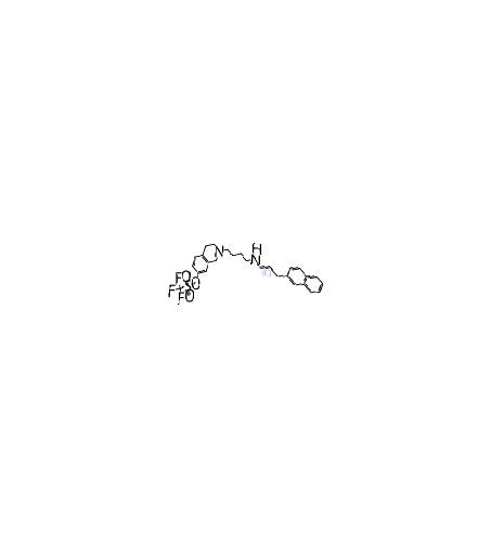 O=S(=O)(Oc1ccc2c(c1)CN(CCCCN/C=C/Cc1ccc3ccccc3c1)CC2)C(F)(F)F